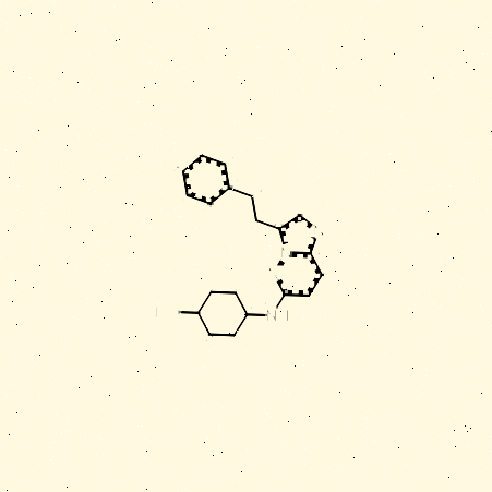 OC1CCC(Nc2ccc3ncc(CCc4ccccc4)n3n2)CC1